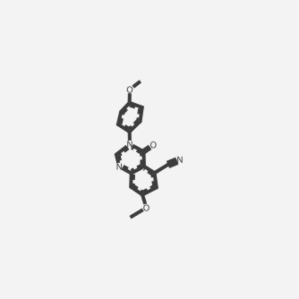 COc1ccc(-n2cnc3cc(OC)cc(C#N)c3c2=O)cc1